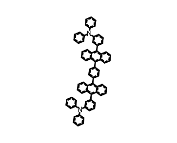 c1ccc(N(c2ccccc2)c2cccc(-c3c4ccccc4c(-c4ccc(-c5c6ccccc6c(-c6cccc(N(c7ccccc7)c7ccccc7)c6)c6ccccc56)cc4)c4ccccc34)c2)cc1